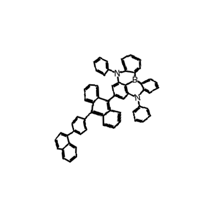 c1ccc(N2c3ccccc3B3c4ccccc4N(c4ccccc4)c4cc(-c5c6ccccc6c(-c6ccc(-c7cccc8ccccc78)cc6)c6ccccc56)cc2c43)cc1